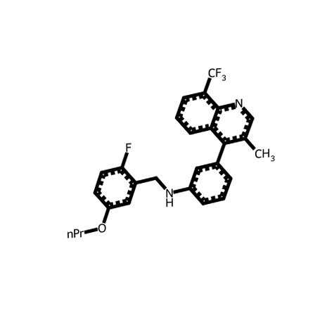 CCCOc1ccc(F)c(CNc2cccc(-c3c(C)cnc4c(C(F)(F)F)cccc34)c2)c1